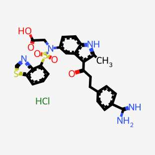 Cc1[nH]c2ccc(N(CC(=O)O)S(=O)(=O)c3cccc4scnc34)cc2c1C(=O)CCc1ccc(C(=N)N)cc1.Cl